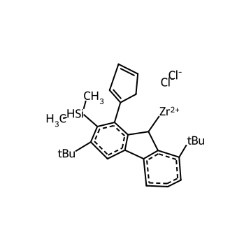 C[SiH](C)c1c(C(C)(C)C)cc2c(c1C1=CC=CC1)[CH]([Zr+2])c1c-2cccc1C(C)(C)C.[Cl-].[Cl-]